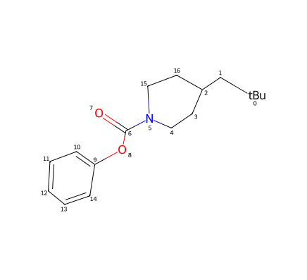 CC(C)(C)CC1CCN(C(=O)Oc2ccccc2)CC1